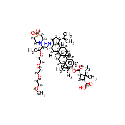 C=C(C)[C@@H]1CC[C@]2(NCC(C(C)OCCOCCOCCOC)N3CCS(=O)(=O)CC3)CC[C@]3(C)[C@H](CC[C@@H]4[C@@]5(C)CC[C@H](OC(=O)[C@H]6C[C@@H](C(=O)O)C6(C)C)C(C)(C)[C@@H]5CC[C@]43C)[C@@H]12